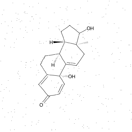 C[C@]12CC=C3[C@@H](CCC4=CC(=O)C=C[C@@]43O)[C@@H]1CCC2O